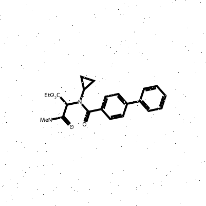 CCOC(=O)C(C(=O)NC)N(C(=O)c1ccc(-c2ccccc2)cc1)C1CC1